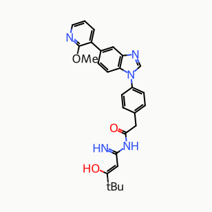 COc1ncccc1-c1ccc2c(c1)ncn2-c1ccc(CC(=O)NC(=N)/C=C(\O)C(C)(C)C)cc1